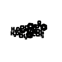 CC(C)N(CCC(C1=CC(COC(=O)c2ccccc2)(OC(=O)C(C)(C)C)C=C[CH]1)c1ccccc1)C(C)C